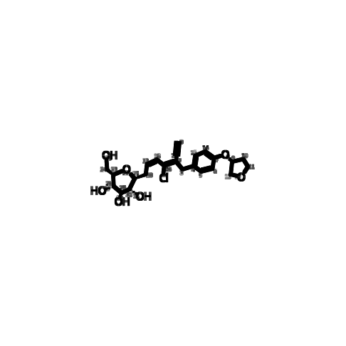 C#C/C(Cc1ccc(O[C@H]2CCOC2)cc1)=C(Cl)\C=C/C[C@@H]1O[C@H](CO)[C@@H](O)[C@H](O)[C@H]1O